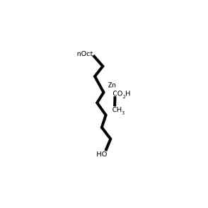 CC(=O)O.CCCCCCCCCCCCCCCO.[Zn]